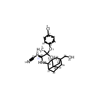 CC(C)(Oc1ccc(Cl)cc1)/C(=N/C#N)NC1C2CC3CC1CC(CO)(C3)C2